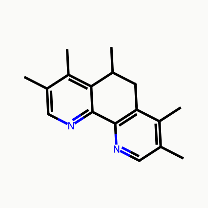 Cc1cnc2c(c1C)CC(C)c1c-2ncc(C)c1C